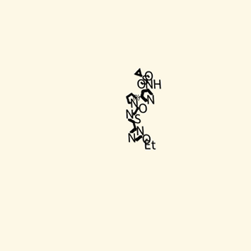 CCOc1cncc(-c2cnc(C(=O)N3CCC[C@@H]3c3cncc(NS(=O)(=O)C4CC4)c3)s2)n1